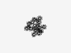 c1ccc(-c2cc3c4c(c2)N(c2ccc5c6ccccc6n(-c6ccccc6)c5c2)c2cc(-c5ccccc5)c5c(sc6ccccc65)c2B4c2c(cc(-c4ccccc4)c4c2sc2ccccc24)N3c2ccc3c4ccccc4n(-c4ccccc4)c3c2)cc1